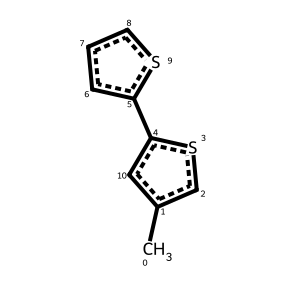 Cc1csc(-c2cccs2)c1